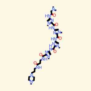 CN(C)CC(=O)Nc1cn(C)c(C(=O)Nc2cn(C)c(C(=O)Nc3cn(C)c(C(=O)Nc4cn(C)c(C(=O)NCCC(=O)NCCCN5CCN(C)CC5)n4)n3)n2)n1